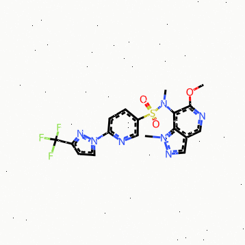 COc1ncc2cnn(C)c2c1N(C)S(=O)(=O)c1ccc(-n2ccc(C(F)(F)F)n2)nc1